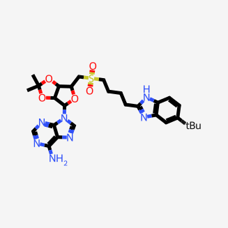 CC1(C)OC2C(CS(=O)(=O)CCCCc3nc4cc(C(C)(C)C)ccc4[nH]3)OC(n3cnc4c(N)ncnc43)C2O1